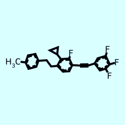 Cc1ccc(CCc2ccc(C#Cc3cc(F)c(F)c(F)c3)c(F)c2C2CC2)cc1